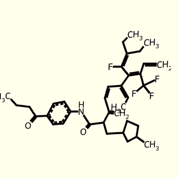 C=C/C(=C(C(F)=C(CC)CC)/C(/C=C\C(=C)C(CC1CCC(C)C1)C(=O)Nc1ccc(C(=O)CCC)cc1)=C/C)C(F)(F)F